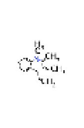 C=CCc1ccccc1N(C)C(=C)/C=C\C